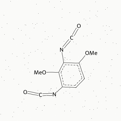 COc1ccc(N=C=O)c(OC)c1N=C=O